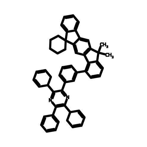 CC1(C)c2cc3c(cc2-c2c(-c4cccc(-c5nc(C6C=CC=CC6)c(-c6ccccc6)nc5C5C=CC=CC5)c4)cccc21)C1(CCCCC1)c1ccccc1-3